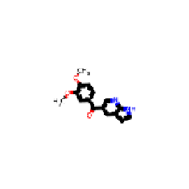 COc1ccc(C(=O)c2cnc3[nH]ccc3c2)cc1OC